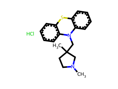 CN1CCC(C)(CN2c3ccccc3Sc3ccccc32)C1.Cl